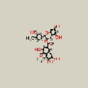 Cc1ccc([C@H]2Oc3cc(O)cc(O)c3C[C@H]2OC(=O)c2cc(O)c(=O)c3c(C)c(O)c(O)cc3c2)cc1O